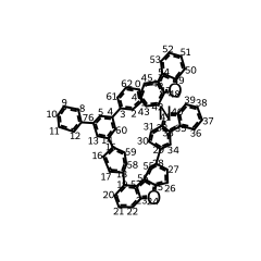 c1ccc(-c2cc(-c3ccccc3)cc(-c3ccc(-c4cccc5oc6ccc(-c7ccc8c(c7)c7ccccc7n8-c7cccc8c7oc7ccccc78)cc6c45)cc3)c2)cc1